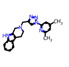 Cc1cc(C)nc(-n2cc(CN3CCc4c([nH]c5ccccc45)C3)nn2)c1